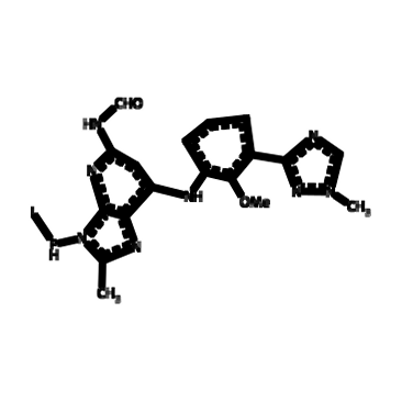 COc1c(Nc2cc(NC=O)nc3c2nc(C)n3PI)cccc1-c1ncn(C)n1